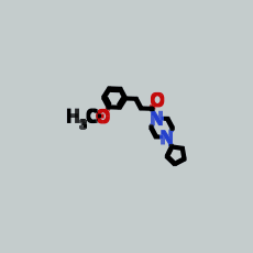 COc1cccc(CCC(=O)N2CCN(C3CCCC3)CC2)c1